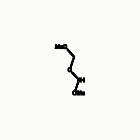 COCONOC